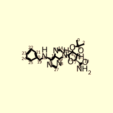 CC1(C)O[C@@H]2[C@H](O1)[C@@H](C(N)=O)O[C@H]2n1cnc2c(NCc3ccccc3)ncnc21